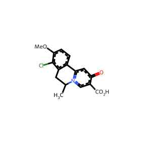 COc1ccc2c(c1Cl)CC(C)n1cc(C(=O)O)c(=O)cc1-2